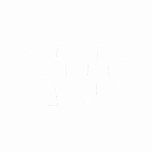 OCC(O)C(OC1OC(CO)C(O)C(O)C1O)C(O)C(O)C1CC1